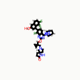 O=C1CCC2(CCN(CC3(COc4nc(N5CC6CCC(C5)N6)c5cc(F)c(-c6cc(O)cc7ccc(F)c(F)c67)c(F)c5n4)CC3)C2)N1